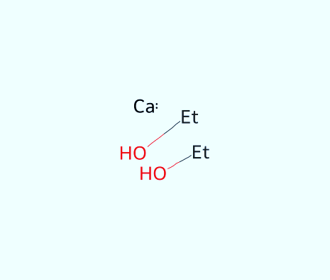 CCO.CCO.[Ca]